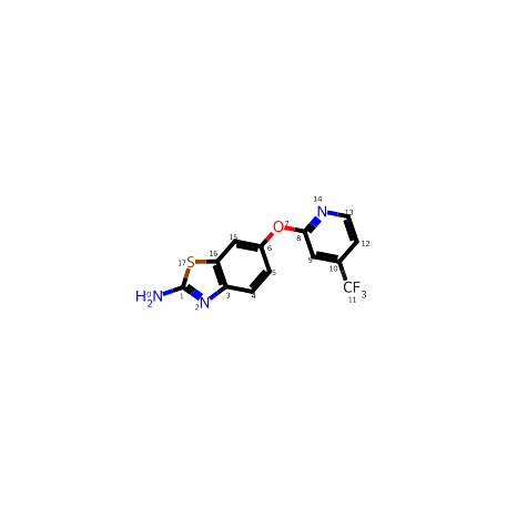 Nc1nc2ccc(Oc3cc(C(F)(F)F)ccn3)cc2s1